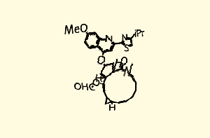 COc1ccc2c(O[C@H]3C[C@H]4C(=O)N(C)CCCC/C=C\[C@@H]5CC5/C=C(/OC=O)[C@@H]4C3)cc(-c3nc(C(C)C)cs3)nc2c1